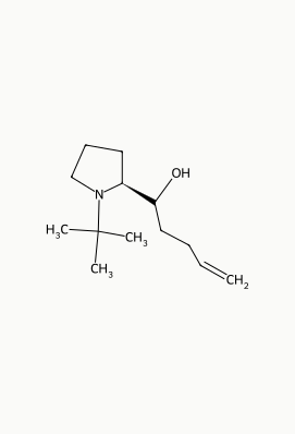 C=CCCC(O)[C@@H]1CCCN1C(C)(C)C